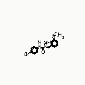 COc1cccc(CN(N)C(=O)Nc2ccc(Br)cc2)c1